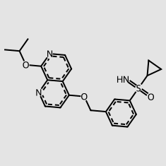 CC(C)Oc1nccc2c(OCc3cccc(S(=N)(=O)C4CC4)c3)ccnc12